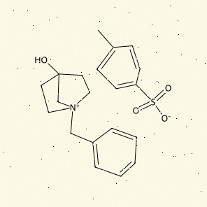 Cc1ccc(S(=O)(=O)[O-])cc1.OC12CC[N+](Cc3ccccc3)(CC1)C2